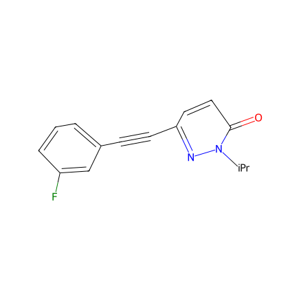 CC(C)n1nc(C#Cc2cccc(F)c2)ccc1=O